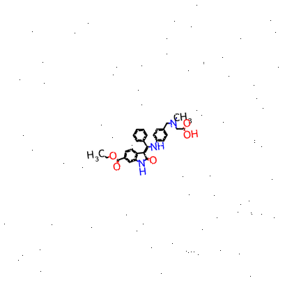 CCOC(=O)c1ccc2c(c1)NC(=O)/C2=C(\Nc1ccc(CN(C)CC(=O)O)cc1)c1ccccc1